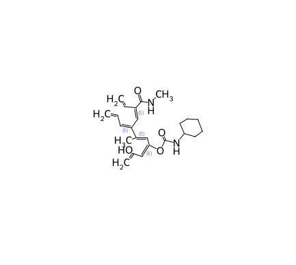 C=C/C=C(\C=C(/C=C)C(=O)NC)C(/C)=C/C(=C\C(=C)O)OC(=O)NC1CCCCC1